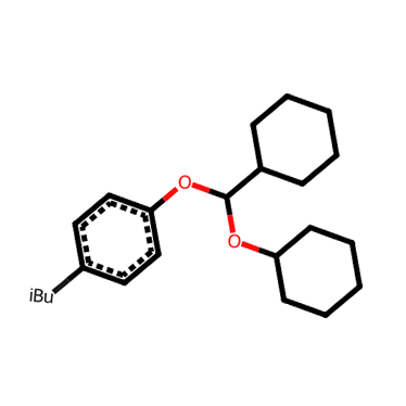 CCC(C)c1ccc(OC(OC2CCCCC2)C2CCCCC2)cc1